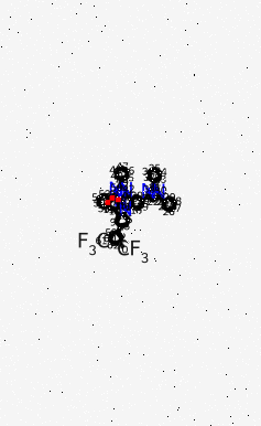 FC(F)(F)c1cc(-c2ccc3c(c2)c2ccccc2n3-c2ccc(-c3cc(-c4ccccc4)nc(-c4ccccc4)n3)cc2-c2nc(-c3ccccc3)nc(-c3ccccc3)n2)cc(C(F)(F)F)c1